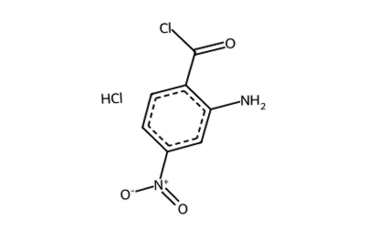 Cl.Nc1cc([N+](=O)[O-])ccc1C(=O)Cl